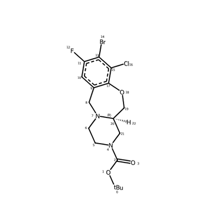 CC(C)(C)OC(=O)N1CCN2Cc3cc(F)c(Br)c(Cl)c3OC[C@H]2C1